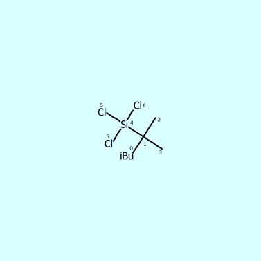 CCC(C)C(C)(C)[Si](Cl)(Cl)Cl